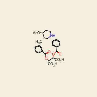 CC(=O)O[C@H]1CCNC[C@@H]1C.O=C(O[C@@H](C(=O)O)[C@@H](OC(=O)c1ccccc1)C(=O)O)c1ccccc1